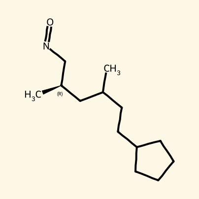 CC(CCC1CCCC1)C[C@@H](C)CN=O